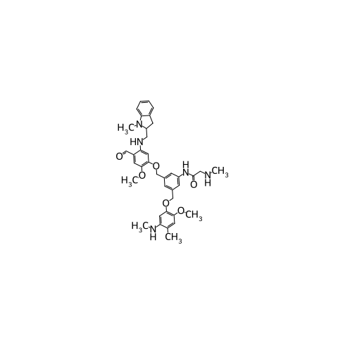 CNCC(=O)Nc1cc(COc2cc(NC)c(C)cc2OC)cc(COc2cc(NCC3Cc4ccccc4N3C)c(C=O)cc2OC)c1